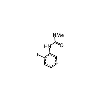 CNC(=O)Nc1ccccc1I